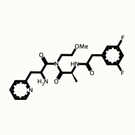 COCCN(C(=O)C(N)Cc1ccccn1)C(=O)[C@H](C)NC(=O)Cc1cc(F)cc(F)c1